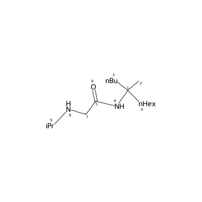 CCCCCCC(C)(CCCC)NC(=O)CNC(C)C